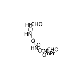 CCCC(C=O)N1Cc2cc(NC(=O)CCOCCCN[C@H]3CC[C@@H](NC=O)CC3)ccc2C1=O